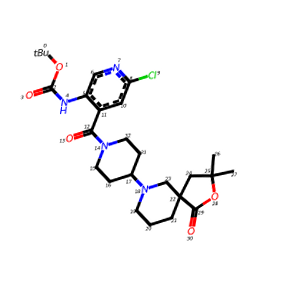 CC(C)(C)OC(=O)Nc1cnc(Cl)cc1C(=O)N1CCC(N2CCCC3(C2)CC(C)(C)OC3=O)CC1